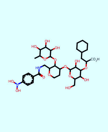 CC1OC(OC2C(CNC(=O)c3ccc(N(O)O)cc3)OCCC2OC2OC(CO)C(O)C(OC(CC3CCCCC3)C(=O)O)C2O)C(O)C(O)C1O